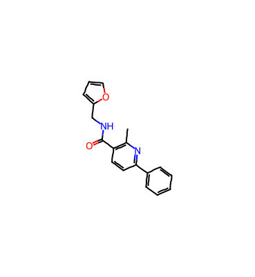 Cc1nc(-c2ccccc2)ccc1C(=O)NCc1ccco1